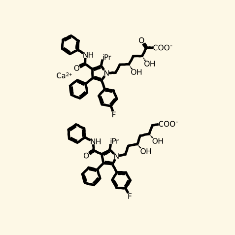 CC(C)c1c(C(=O)Nc2ccccc2)c(-c2ccccc2)c(-c2ccc(F)cc2)n1CC[C@@H](O)C[C@@H](O)C(=O)C(=O)[O-].CC(C)c1c(C(=O)Nc2ccccc2)c(-c2ccccc2)c(-c2ccc(F)cc2)n1CC[C@@H](O)C[C@@H](O)CC(=O)[O-].[Ca+2]